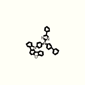 c1ccc(-c2ccc(N(c3ccc(-n4c5ccccc5c5ccc6oc7ccccc7c6c54)cc3)c3ncc(-c4ccccc4)cn3)cc2)cc1